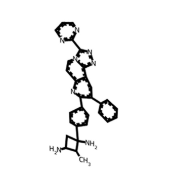 CC1C(N)CC1(N)c1ccc(-c2nc3ccn4c(-c5ncccn5)nnc4c3cc2-c2ccccc2)cc1